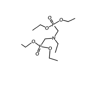 CCOP(=O)(CN(CC)CP(=O)(OCC)OCC)OCC